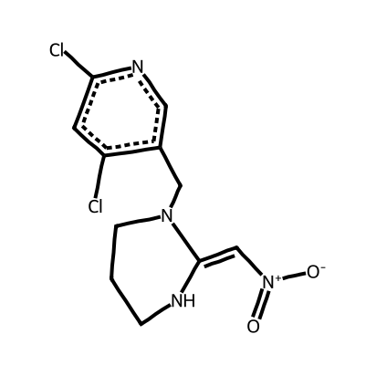 O=[N+]([O-])C=C1NCCCN1Cc1cnc(Cl)cc1Cl